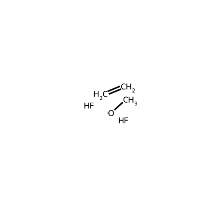 C=C.C[O].F.F